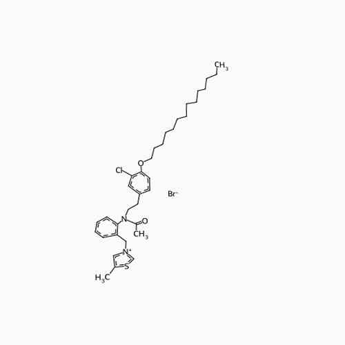 CCCCCCCCCCCCCCOc1ccc(CCN(C(C)=O)c2ccccc2C[n+]2csc(C)c2)cc1Cl.[Br-]